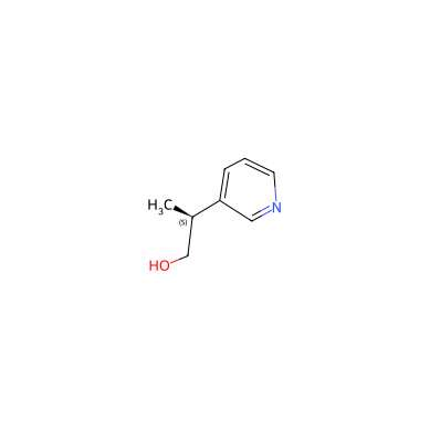 C[C@H](CO)c1cccnc1